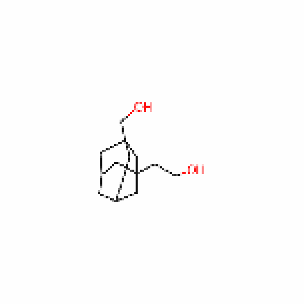 OCCC12CC3CC(CC(CO)(C3)C1)C2